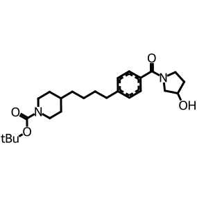 CC(C)(C)OC(=O)N1CCC(CCCCc2ccc(C(=O)N3CCC(O)C3)cc2)CC1